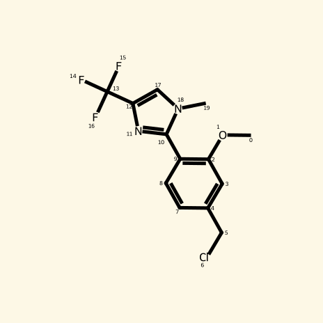 COc1cc(CCl)ccc1-c1nc(C(F)(F)F)cn1C